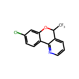 FC(F)(F)C1Oc2cc(Cl)ccc2-c2ncccc21